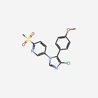 COc1ccc(-c2c(Cl)ncn2-c2ccc(S(C)(=O)=O)nc2)cc1